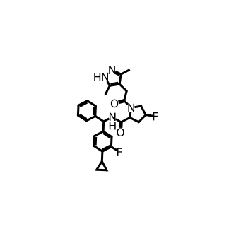 Cc1n[nH]c(C)c1CC(=O)N1CC(F)CC1C(=O)NC(c1ccccc1)c1ccc(C2CC2)c(F)c1